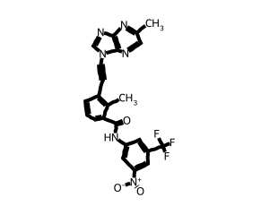 Cc1cnc2c(ncn2C#Cc2cccc(C(=O)Nc3cc([N+](=O)[O-])cc(C(F)(F)F)c3)c2C)n1